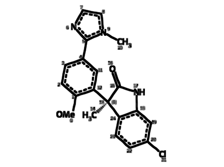 COc1ccc(-c2nccn2C)cc1[C@@]1(C)C(=O)Nc2cc(Cl)ccc21